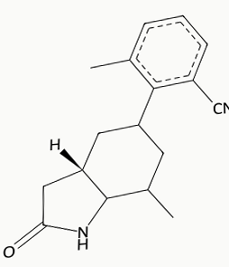 Cc1cccc(C#N)c1C1CC(C)C2NC(=O)C[C@@H]2C1